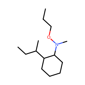 CCCON(C)C1CCCCC1C(C)CC